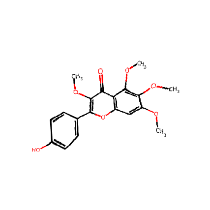 COc1cc2oc(-c3ccc(O)cc3)c(OC)c(=O)c2c(OC)c1OC